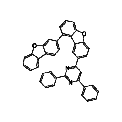 c1ccc(-c2cc(-c3ccc4oc5cccc(-c6ccc7c(c6)oc6ccccc67)c5c4c3)nc(-c3ccccc3)n2)cc1